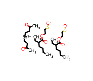 CC(=O)C[CH2][Sn+2][CH2]CC(C)=O.CCCCC(CC)C(=O)OCCS[O-].CCCCC(CC)C(=O)OCCS[O-]